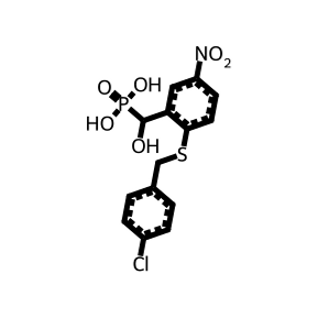 O=[N+]([O-])c1ccc(SCc2ccc(Cl)cc2)c(C(O)P(=O)(O)O)c1